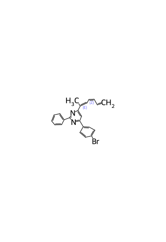 C=C/C=C\C=C(/C)c1cc(-c2ccc(Br)cc2)nc(-c2ccccc2)n1